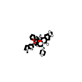 Cc1c(C(=O)N(c2ccccc2)c2cnc3c(ccn3C)c2)cc(-c2cc3c(cc2C(=O)N2Cc4ccccc4C[C@H]2CN2CCOCC2)OCO3)n1C